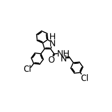 O=C(NN=Cc1ccc(Cl)cc1)c1[nH]c2ccccc2c1-c1ccc(Cl)cc1